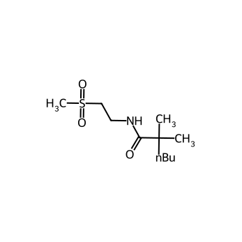 CCCCC(C)(C)C(=O)NCCS(C)(=O)=O